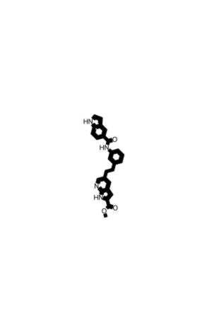 COC(=O)c1cc2cc(CCc3cccc(NC(=O)c4ccc5[nH]ccc5c4)c3)cnc2[nH]1